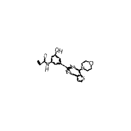 C=CC(=O)Nc1cc(O)cc(-c2nc(N3CCOCC3)c3sccc3n2)c1